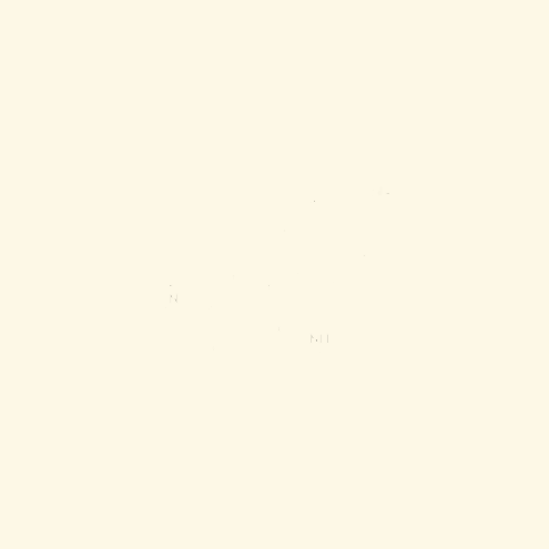 CCCCc1ccc(C2=C[C](N)C=C[C]2N)cc1